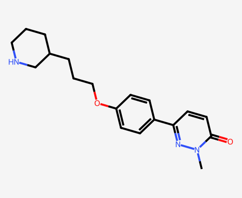 Cn1nc(-c2ccc(OCCCC3CCCNC3)cc2)ccc1=O